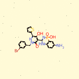 Nc1ccc2c(c1)P(=O)(O)N=C(c1c(O)c(-c3cccs3)nn(Cc3cccc(Br)c3)c1=O)N2